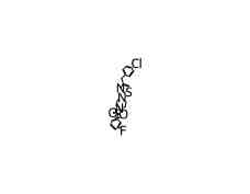 O=S(=O)(c1cccc(F)c1)N1CCN(c2nc(Cc3ccc(Cl)cc3)cs2)CC1